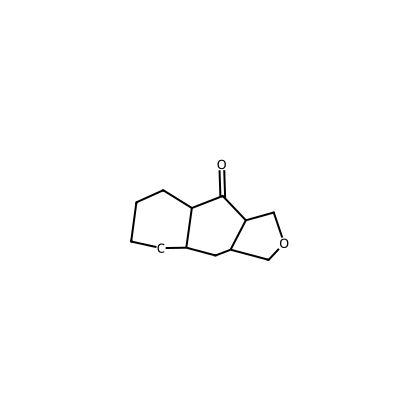 O=C1C2CCCCC2CC2COCC12